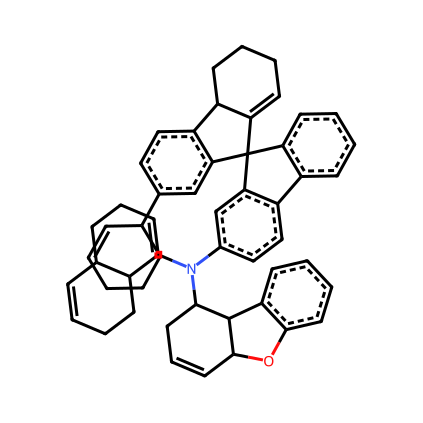 C1=CC(c2ccc3c(c2)C2(C4=CCCCC43)c3ccccc3-c3ccc(N(C4=CCCC5C=CCCC45)C4CC=CC5Oc6ccccc6C54)cc32)CCC1